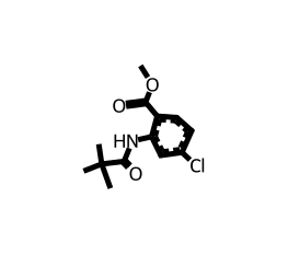 COC(=O)c1ccc(Cl)cc1NC(=O)C(C)(C)C